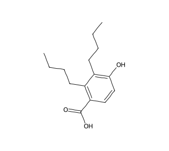 CCCCc1c(O)ccc(C(=O)O)c1CCCC